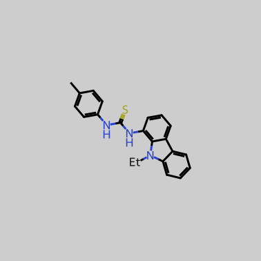 CCn1c2ccccc2c2cccc(NC(=S)Nc3ccc(C)cc3)c21